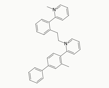 Cc1cc(-c2ccccc2)ccc1-c1cccc[n+]1CCc1ccccc1-c1cccc[n+]1C